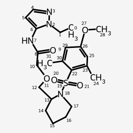 CCn1nccc1NC(=O)COCC1CCCCN1S(=O)(=O)c1c(C)cc(OC)cc1C